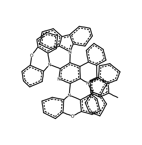 Cc1cccc(-c2ccccc2-c2c(-n3c4ccccc4c4ccccc43)c(N3c4ccccc4Oc4ccccc43)nc(N3c4ccccc4Oc4ccccc43)c2-n2c3ccccc3c3ccccc32)n1